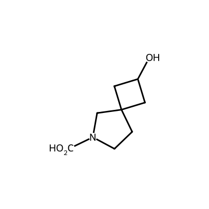 O=C(O)N1CCC2(CC(O)C2)C1